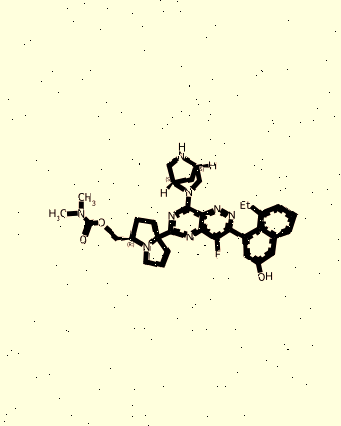 CCc1cccc2cc(O)cc(-c3nnc4c(N5C[C@@H]6C[C@H]5CN6)nc(C56CCCN5[C@@H](COC(=O)N(C)C)CC6)nc4c3F)c12